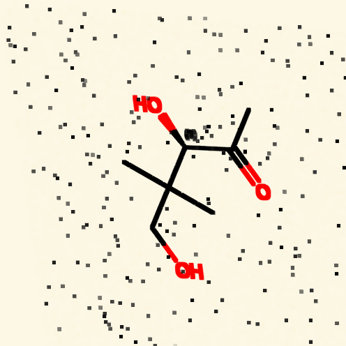 CC(=O)[C@H](O)C(C)(C)CO